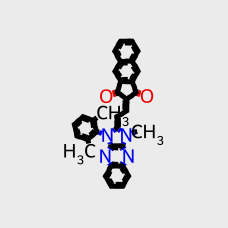 Cc1cccc(C)c1N1/C(=C/C=C2C(=O)c3cc4ccccc4cc3C2=O)N(C)c2nc3ccccc3nc21